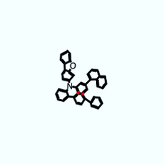 c1ccc(-c2ccc(-c3ccccc3N(c3cccc(-c4cccc5ccccc45)c3)c3ccc4c(c3)oc3ccccc34)cc2)cc1